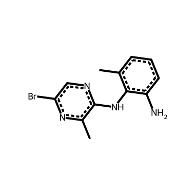 Cc1cccc(N)c1Nc1ncc(Br)nc1C